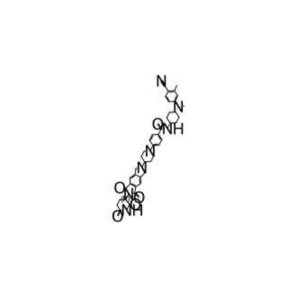 Cc1cc(N(C)[C@H]2CC[C@H](NC(=O)c3ccc(N4CCC(N5Cc6cc7c(cc6C5)C(=O)N([C@@H]5CCC(=O)NC5=O)C7=O)CC4)cc3)CC2)ccc1C#N